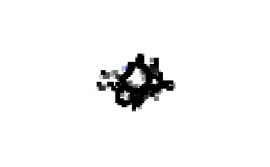 C=C1/C=C/[C@H](OC(C)=O)[C@@]2(C)[C@@H](OC(C)=O)CC[C@]3(CO3)[C@@H]2[C@H](OC(C)=O)[C@]2(O)[C@@H](C)C(=O)O[C@H]2[C@H]1Cl